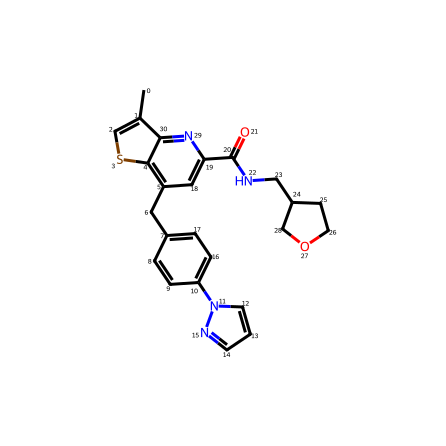 Cc1csc2c(Cc3ccc(-n4cccn4)cc3)cc(C(=O)NCC3CCOC3)nc12